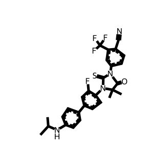 CC(C)Nc1ccc(-c2ccc(N3C(=S)N(c4ccc(C#N)c(C(F)(F)F)c4)C(=O)C3(C)C)c(F)c2)cc1